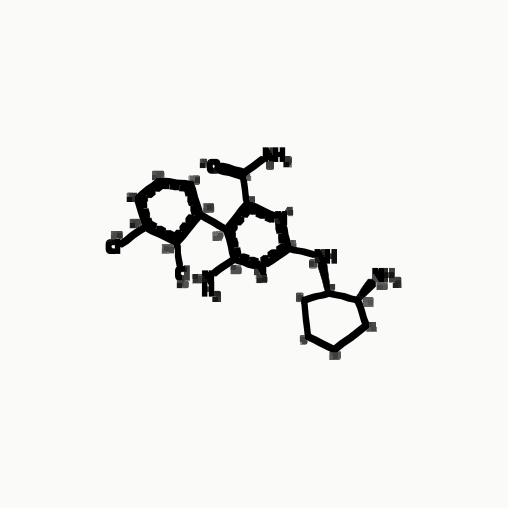 NC(=O)c1nc(N[C@@H]2CCCC[C@@H]2N)nc(N)c1-c1cccc(Cl)c1Cl